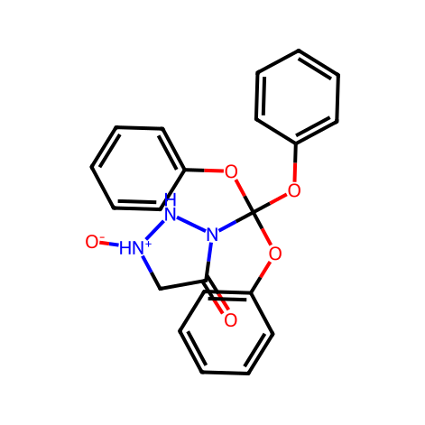 O=C1C[NH+]([O-])NN1C(Oc1ccccc1)(Oc1ccccc1)Oc1ccccc1